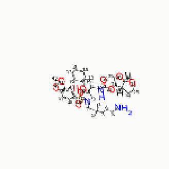 CC(C)(CCCN)CN(C[C@H](O)[C@H](Cc1ccccc1)NC(=O)O[C@H]1CO[C@H]2OCC[C@H]21)S(=O)(=O)c1ccc2c(c1)OCO2